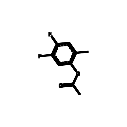 CC(=O)Oc1cc(F)c(F)cc1C